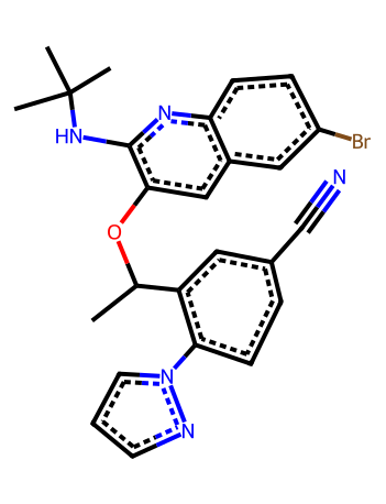 CC(Oc1cc2cc(Br)ccc2nc1NC(C)(C)C)c1cc(C#N)ccc1-n1cccn1